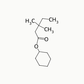 CCC(C)(C)CC(=O)OC1CCCCC1